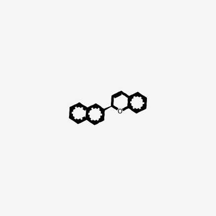 C1=C[C@H](c2ccc3ccccc3c2)Oc2ccccc21